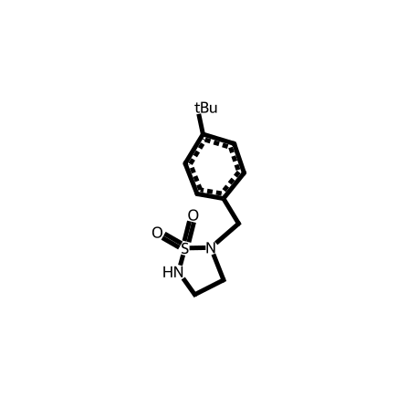 CC(C)(C)c1ccc(CN2CCNS2(=O)=O)cc1